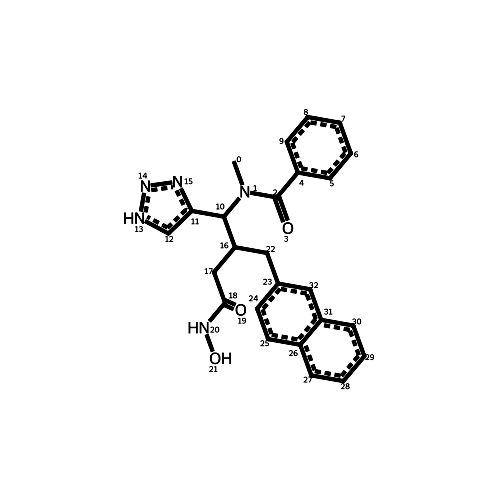 CN(C(=O)c1ccccc1)C(c1c[nH]nn1)C(CC(=O)NO)Cc1ccc2ccccc2c1